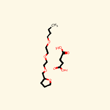 CCCCOCCOCCOCC1CCCO1.O=C(O)CCC(=O)O